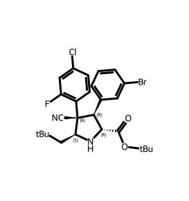 CC(C)(C)C[C@@H]1N[C@@H](C(=O)OC(C)(C)C)[C@H](c2cccc(Br)c2)[C@@]1(C#N)c1ccc(Cl)cc1F